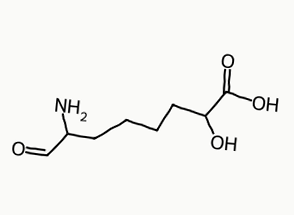 NC(C=O)CCCCC(O)C(=O)O